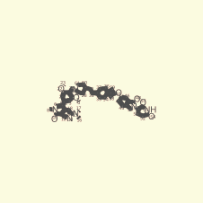 COc1cc(-c2cn(C)c(=O)c3cnc(N(C)C)cc23)cc(OC)c1CN1CCC(CC=C2CCC3(CC2)CC(Oc2ccc4c(c2)C(=O)N(C2CCC(=O)NC2=O)C4)C3)CC1